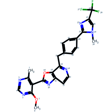 COc1ncnc(C)c1-c1nc2ccnc(Cc3ccc(-c4nc(C(F)(F)F)cn4C)cc3)c2o1